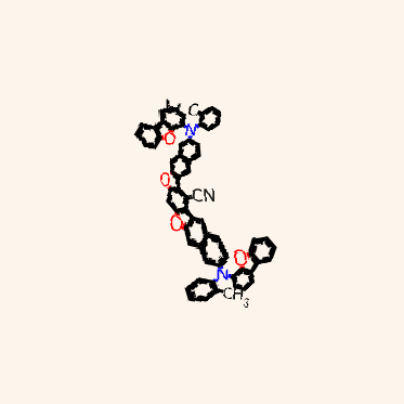 Cc1ccccc1N(c1ccc2cc3c(cc2c1)oc1cc2oc4cc5cc(N(c6ccccc6C)c6cccc7c6oc6ccccc67)ccc5cc4c2c(C#N)c13)c1cccc2c1oc1ccccc12